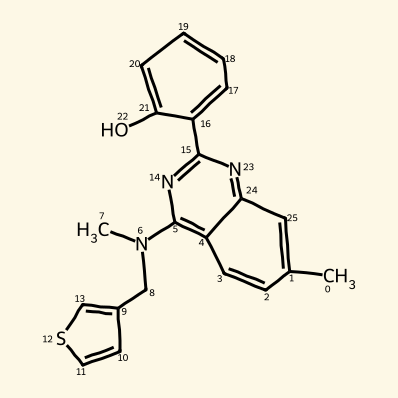 Cc1ccc2c(N(C)Cc3ccsc3)nc(-c3ccccc3O)nc2c1